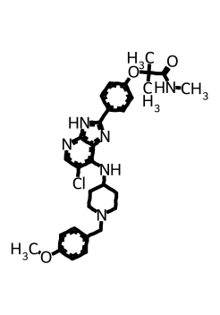 CNC(=O)C(C)(C)Oc1ccc(-c2nc3c(NC4CCN(Cc5ccc(OC)cc5)CC4)c(Cl)cnc3[nH]2)cc1